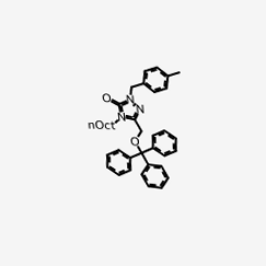 CCCCCCCCn1c(COC(c2ccccc2)(c2ccccc2)c2ccccc2)nn(Cc2ccc(C)cc2)c1=O